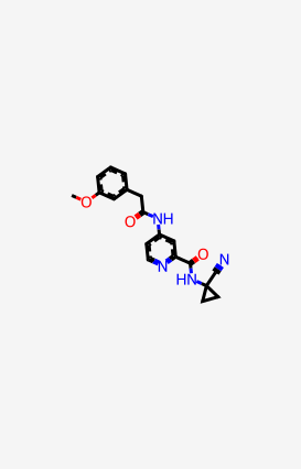 COc1cccc(CC(=O)Nc2ccnc(C(=O)NC3(C#N)CC3)c2)c1